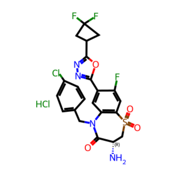 Cl.N[C@H]1CS(=O)(=O)c2cc(F)c(-c3nnc(C4CC(F)(F)C4)o3)cc2N(Cc2ccc(Cl)cc2)C1=O